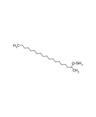 CCCCCCCCCCCCCCCCCC(C)O[SiH3]